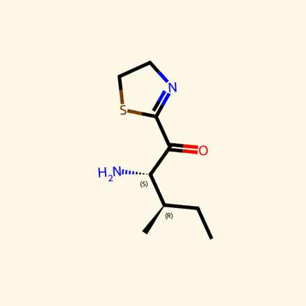 CC[C@@H](C)[C@H](N)C(=O)C1=NCCS1